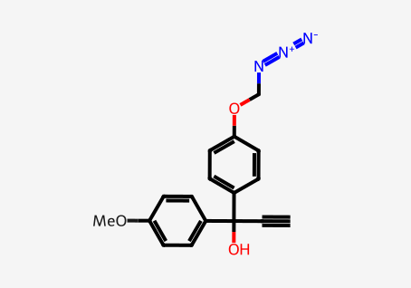 C#CC(O)(c1ccc(OC)cc1)c1ccc(OCN=[N+]=[N-])cc1